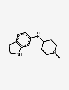 CN1CCC(Nc2ccc3c(c2)NCC3)CC1